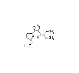 CCc1cccc(-c2occc2C(=O)N(CC)CC)c1